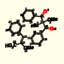 CCCCC(OC)(C(=O)c1ccccc1)C(=O)c1ccccc1.COC(=Cc1ccccc1)C(=O)O